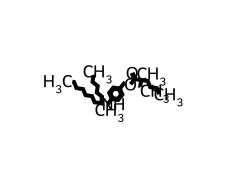 CCCCCCCC(C)(CCCCCC)Nc1ccc(COC(=O)C(C)(CC)CCCC)cc1